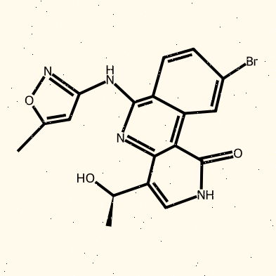 Cc1cc(Nc2nc3c([C@@H](C)O)c[nH]c(=O)c3c3cc(Br)ccc23)no1